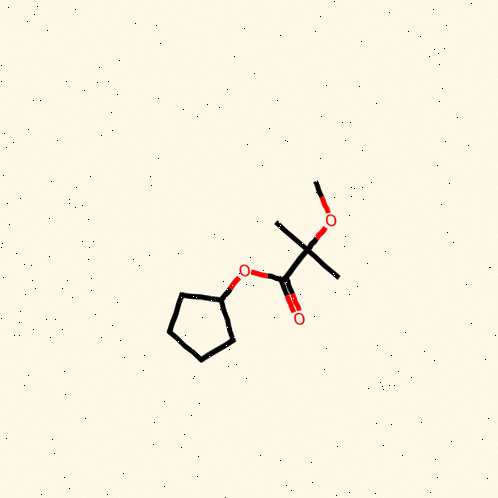 COC(C)(C)C(=O)OC1CCCC1